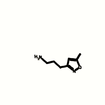 Cc1cc([CH]CCN)no1